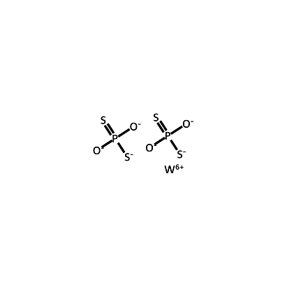 [O-]P([O-])(=S)[S-].[O-]P([O-])(=S)[S-].[W+6]